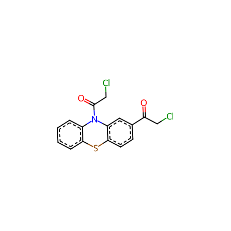 O=C(CCl)c1ccc2c(c1)N(C(=O)CCl)c1ccccc1S2